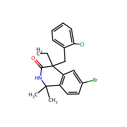 CCC1(Cc2ccccc2Cl)C(=O)NC(C)(C)c2ccc(Br)cc21